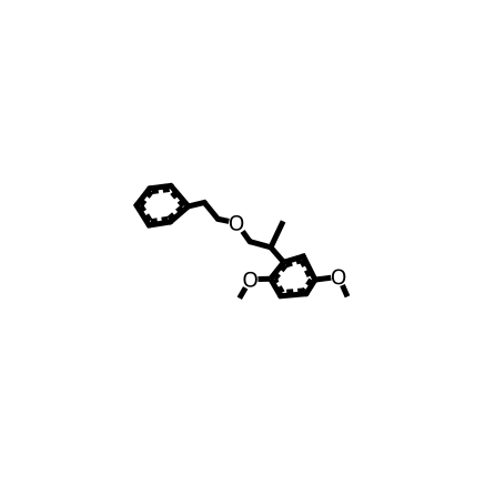 COc1ccc(OC)c(C(C)COCCc2ccccc2)c1